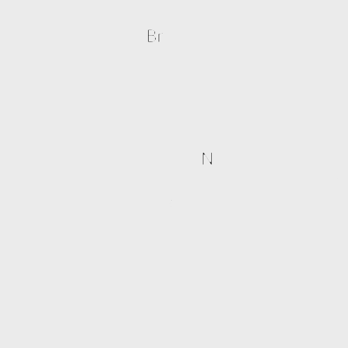 C=C/C=C\C(=C)N(/C=C/C(Br)CC=C)c1ccccc1